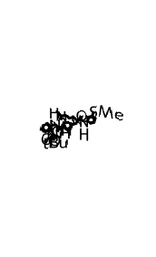 CSc1cccc(NC(=O)N(CCCN(C)C)Cc2ccc(C(=O)Nc3ccccc3NC(=O)OC(C)(C)C)nc2)c1